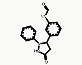 O=CNc1cccc(C2CC(=O)NN2c2ccccc2)c1